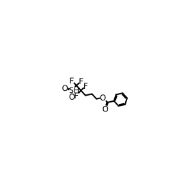 O=C(OCCCC(F)(F)C(F)(F)[SH](=O)=O)c1ccccc1